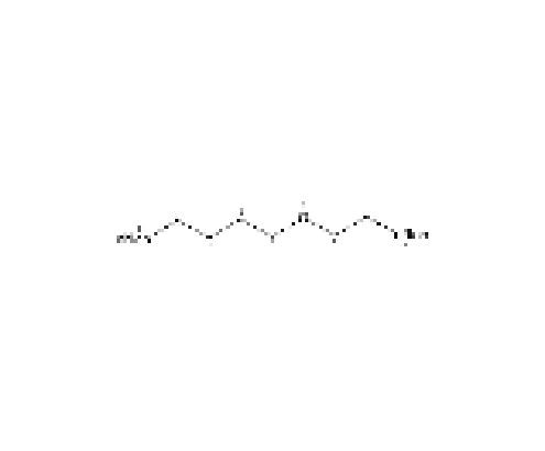 CCCCCCCCCCCCCOCCCCCCCCCCC